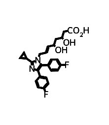 O=C(O)CC(O)CC(O)C=CCn1c(C2CC2)nc(-c2ccc(F)cc2)c1-c1ccc(F)cc1